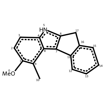 COc1ccc2[nH]c3c(c2c1C)-c1ccccc1C3